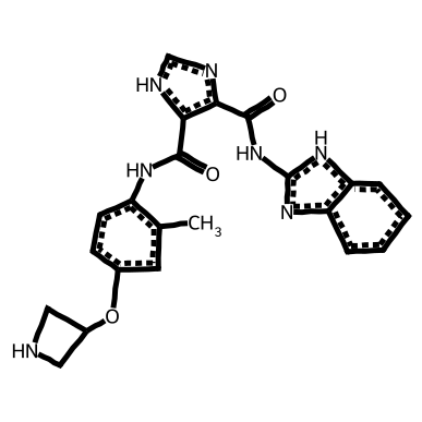 Cc1cc(OC2CNC2)ccc1NC(=O)c1[nH]cnc1C(=O)Nc1nc2ccccc2[nH]1